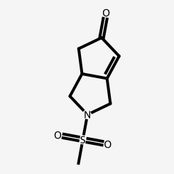 CS(=O)(=O)N1CC2=CC(=O)CC2C1